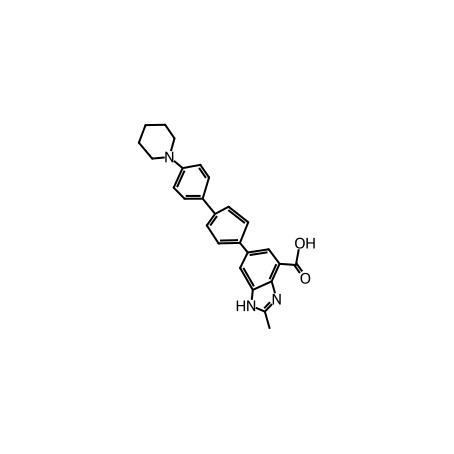 Cc1nc2c(C(=O)O)cc(-c3ccc(-c4ccc(N5CCCCC5)cc4)cc3)cc2[nH]1